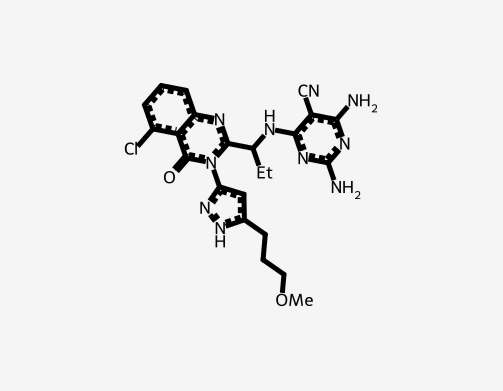 CCC(Nc1nc(N)nc(N)c1C#N)c1nc2cccc(Cl)c2c(=O)n1-c1cc(CCCOC)[nH]n1